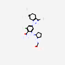 Cc1nn(-c2cc(F)c(C(N)=O)c(NC3CCCC3NCC(=O)O)c2)c2c1CCC(C)(C)C2